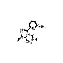 CC(C(F)F)N(C=N)C(=N)c1cccc(N)n1